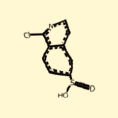 O=S(O)c1ccc2c(Cl)nccc2c1